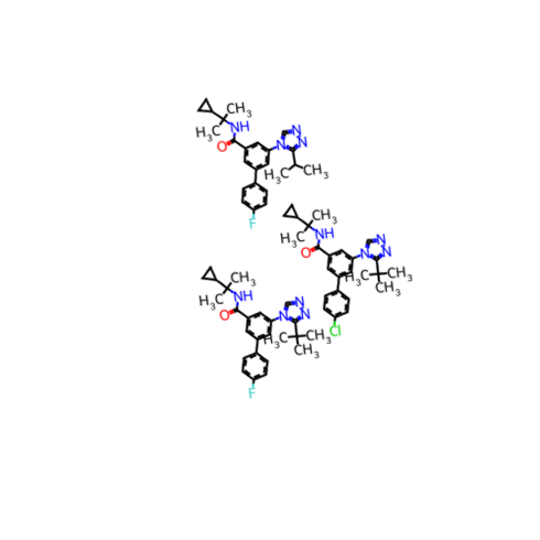 CC(C)(C)c1nncn1-c1cc(C(=O)NC(C)(C)C2CC2)cc(-c2ccc(Cl)cc2)c1.CC(C)(C)c1nncn1-c1cc(C(=O)NC(C)(C)C2CC2)cc(-c2ccc(F)cc2)c1.CC(C)c1nncn1-c1cc(C(=O)NC(C)(C)C2CC2)cc(-c2ccc(F)cc2)c1